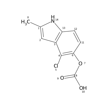 Cc1cc2c(Cl)c(OC(=O)O)ccc2[nH]1